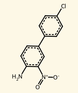 Nc1ccc(-c2ccc(Cl)cc2)cc1[N+](=O)[O-]